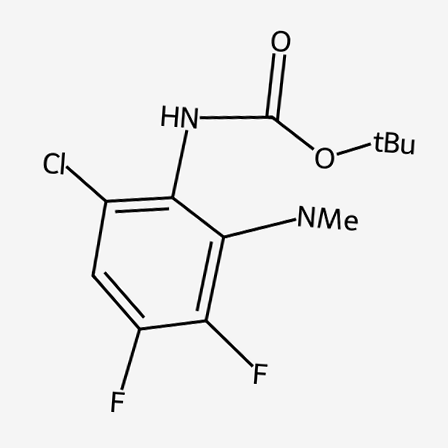 CNc1c(F)c(F)cc(Cl)c1NC(=O)OC(C)(C)C